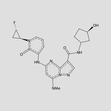 CNc1cc(Nc2cccn([C@H]3C[C@@H]3F)c2=O)nc2c(C(=O)NC3CC[C@@H](O)C3)cnn12